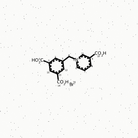 O=C(O)c1cc(C[n+]2cccc(C(=O)O)c2)cc(C(=O)O)c1.[Br-]